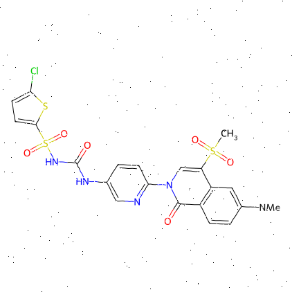 CNc1ccc2c(=O)n(-c3ccc(NC(=O)NS(=O)(=O)c4ccc(Cl)s4)cn3)cc(S(C)(=O)=O)c2c1